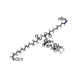 CCCC/C=C\CCCCCCCC(=O)O[C@H](COC(=O)CCCCCCCCCCC/C=C\CCCCCCCC)COP(=O)(O)OCC[N+](C)(C)C